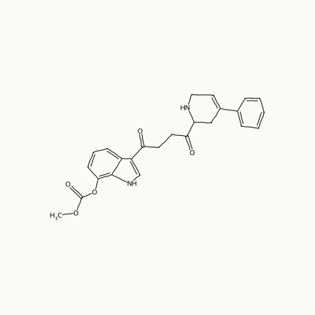 COC(=O)Oc1cccc2c(C(=O)CCC(=O)C3CC(c4ccccc4)=CCN3)c[nH]c12